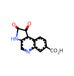 O=C1Nc2cnc3cc(C(=O)O)ccc3c2C1=O